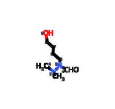 CN(C)N(C=O)CCCCO